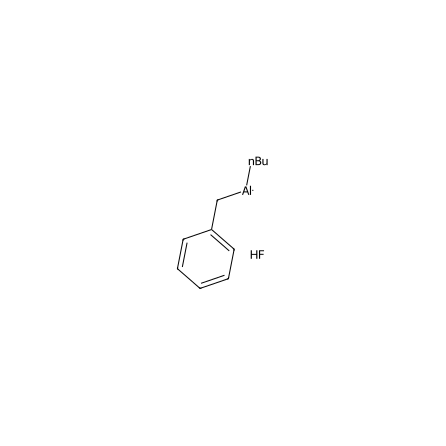 CCC[CH2][Al][CH2]c1ccccc1.F